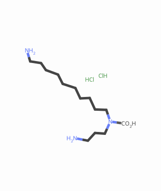 Cl.Cl.NCCCCCCCCCCN(CCCN)C(=O)O